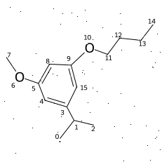 [CH2]C(C)c1cc(OC)cc(OCCCC)c1